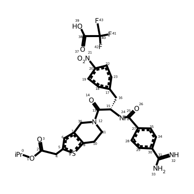 CC(C)OC(=O)Cc1cc2c(s1)CCN(C(=O)[C@H](Cc1ccc([N+](=O)[O-])cc1)NC(=O)c1ccc(C(=N)N)cc1)C2.O=C(O)C(F)(F)F